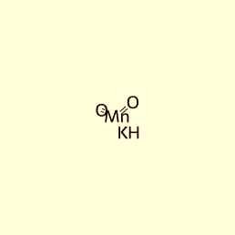 [KH].[O]=[Mn]=[O]